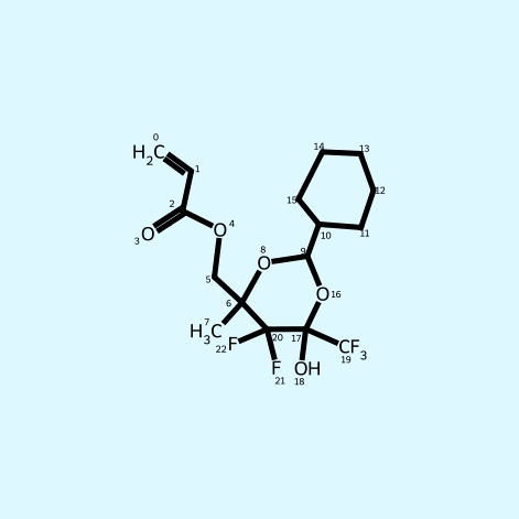 C=CC(=O)OCC1(C)OC(C2CCCCC2)OC(O)(C(F)(F)F)C1(F)F